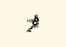 CN(C)CCCN[C@H]1COc2ccc(Cl)cc2[C@@H](O)C1